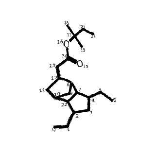 CCC1CC(CC)C2C3CC(CC3CC(=O)OC(C)(C)CC)C12